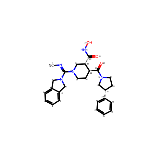 N#C/N=C(\N1Cc2ccccc2C1)N1CC[C@H](C(=O)N2CC[C@H](c3ccccc3)C2)[C@@H](C(=O)NO)C1